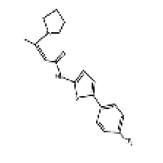 CC(=CC(=O)Nc1ccc(-c2ccc(C(F)(F)F)cc2)s1)N1CCCC1